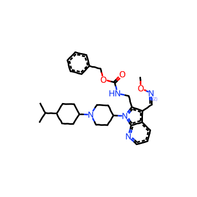 CO/N=C\c1c(CNC(=O)OCc2ccccc2)n(C2CCN(C3CCC(C(C)C)CC3)CC2)c2ncccc12